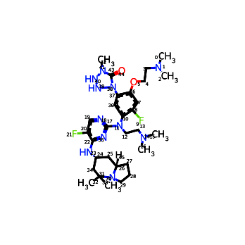 CN(C)CCOc1cc(F)c(N(CCN(C)C)c2ncc(F)c(N[C@@H]3C[C@@H]4CCCN4C(C)(C)C3)n2)cc1N1NNN(C)C1=O